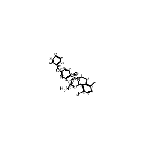 Cc1ccc(F)c2c1CCN(S(=O)(=O)c1ccc(Oc3ccccc3)nc1)C2OC(N)=O